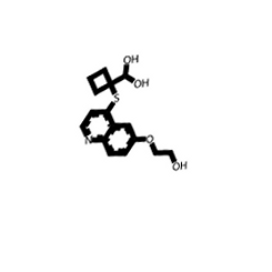 OCCOc1ccc2nccc(SC3(C(O)O)CCC3)c2c1